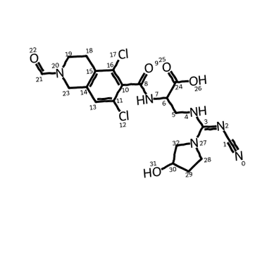 N#C/N=C(/NCC(NC(=O)c1c(Cl)cc2c(c1Cl)CCN(C=O)C2)C(=O)O)N1CCC(O)C1